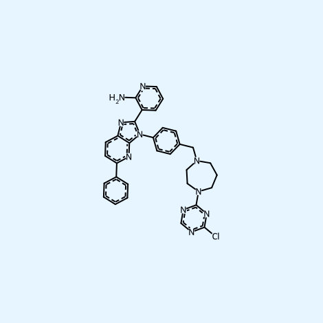 Nc1ncccc1-c1nc2ccc(-c3ccccc3)nc2n1-c1ccc(CN2CCCN(c3ncnc(Cl)n3)CC2)cc1